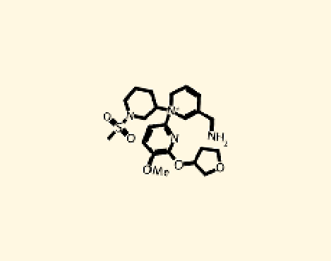 COc1ccc([N+]2(C3CCCN(S(C)(=O)=O)C3)C=C(CN)C=CC2)nc1OC1CCOC1